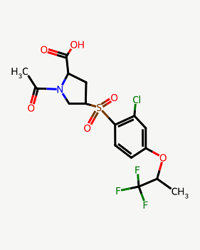 CC(=O)N1CC(S(=O)(=O)c2ccc(OC(C)C(F)(F)F)cc2Cl)CC1C(=O)O